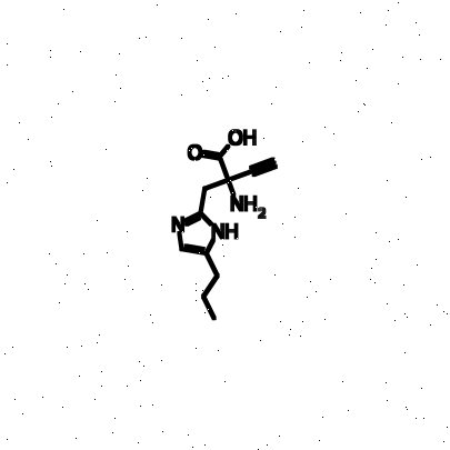 C#CC(N)(Cc1ncc(CCC)[nH]1)C(=O)O